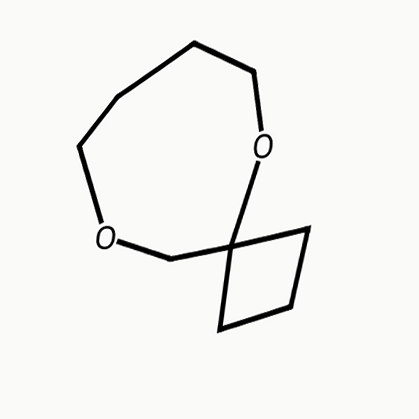 C1CCOC2(CCC2)COC1